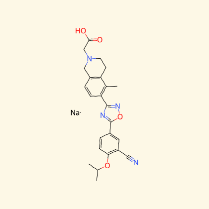 Cc1c(-c2noc(-c3ccc(OC(C)C)c(C#N)c3)n2)ccc2c1CCN(CC(=O)O)C2.[Na]